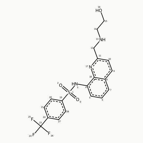 O=S(=O)(Nc1cccc2ccc(CNCCO)nc12)c1ccc(C(F)(F)F)cc1